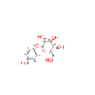 OC[C@H]1O[C@H](Oc2ccc(O)cc2)[C@@H](O)[C@@H](O)[C@@H]1O